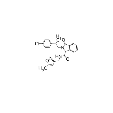 Cc1cc(CNC(=O)C2c3ccccc3C(=O)N2CC(C)c2ccc(Cl)cc2)no1